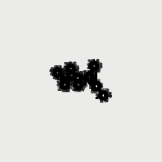 c1ccc(-c2ccc(-c3nc(-c4ccccc4)cc(-c4cc5c6ccccc6c6c(c7ccccc7n6-c6ccccc6)c5c5ccccc45)n3)cc2)cc1